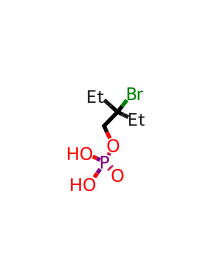 CCC(Br)(CC)COP(=O)(O)O